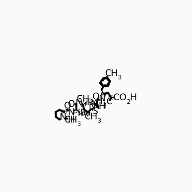 CC[C@H](C)[C@H](NC(=O)[C@H]1CCCCN1C)C(=O)N(C)[C@H](C[C@@H](C)c1nc(C(=O)N[C@@H](Cc2ccc(C)cc2)C[C@H](C)C(=O)O)cs1)C(C)C